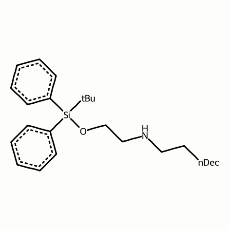 CCCCCCCCCCCCNCCO[Si](c1ccccc1)(c1ccccc1)C(C)(C)C